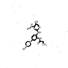 C=CC(=O)Nc1cc(N2CCN(CC)CC2)ccc1Nc1ncc(C#N)c(NC(C)C)n1